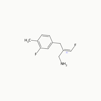 Cc1ccc(C/C(=C\F)CN)cc1F